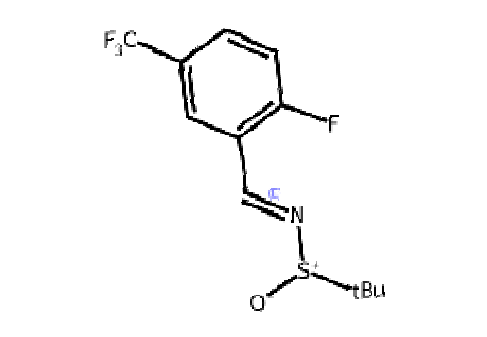 CC(C)(C)[S+]([O-])/N=C/c1cc(C(F)(F)F)ccc1F